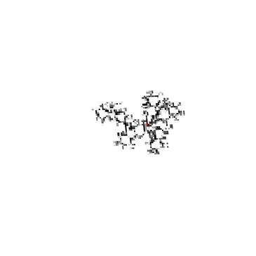 CC1(C)c2ccccc2-c2cc(-n3c4ccccc4c4cc(N(c5ccccc5)c5ccc6c(c5)C5(c7ccccc7Sc7ccccc75)c5cccc7cccc-6c57)ccc43)ccc21